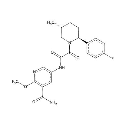 C[C@@H]1CC[C@@H](c2ccc(F)cc2)N(C(=O)C(=O)Nc2cnc(OC(F)(F)F)c(C(N)=O)c2)C1